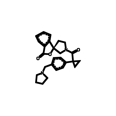 O=C1O[C@]2(CCN(C(=O)C3(c4ccc(CN5CCCC5)cc4)CC3)C2)c2ccccc21